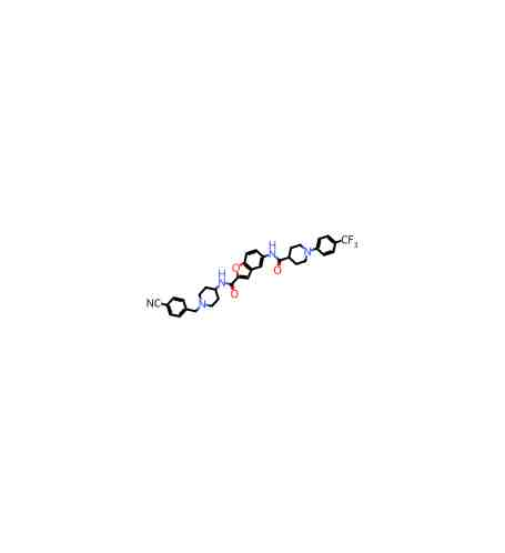 N#Cc1ccc(CN2CCC(NC(=O)c3cc4cc(NC(=O)C5CCN(c6ccc(C(F)(F)F)cc6)CC5)ccc4o3)CC2)cc1